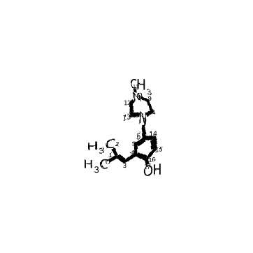 CC(C)=Cc1cc(N2CCN(C)CC2)ccc1O